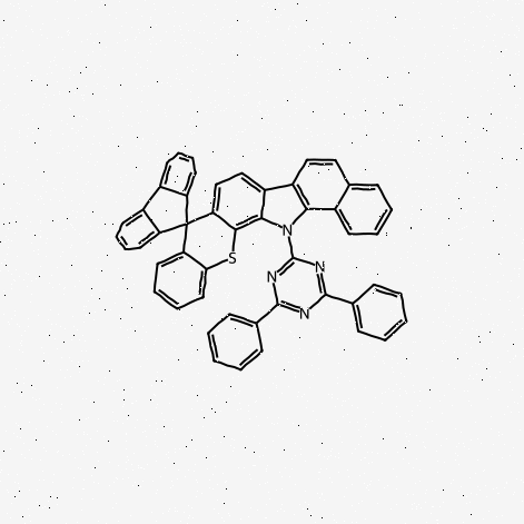 c1ccc(-c2nc(-c3ccccc3)nc(-n3c4c5c(ccc4c4ccc6ccccc6c43)C3(c4ccccc4S5)c4ccccc4-c4ccccc43)n2)cc1